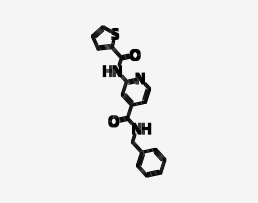 O=C(NCc1ccccc1)c1ccnc(NC(=O)c2cccs2)c1